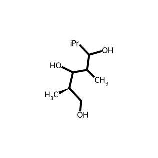 CC(C)C(O)C(C)C(O)[C@H](C)CO